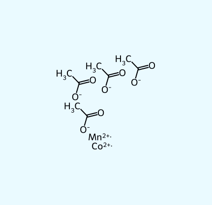 CC(=O)[O-].CC(=O)[O-].CC(=O)[O-].CC(=O)[O-].[Co+2].[Mn+2]